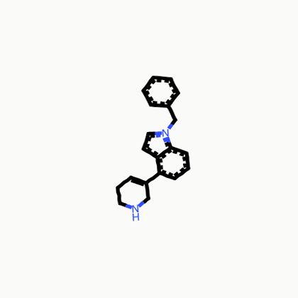 C1=C(c2cccc3c2ccn3Cc2ccccc2)CNCC1